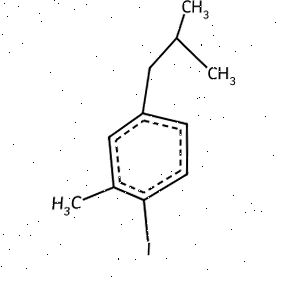 Cc1cc(CC(C)C)ccc1I